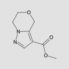 COC(=O)c1cnn2c1COCC2